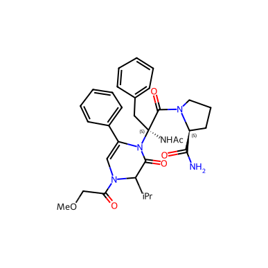 COCC(=O)N1C=C(c2ccccc2)N([C@](Cc2ccccc2)(NC(C)=O)C(=O)N2CCC[C@H]2C(N)=O)C(=O)C1C(C)C